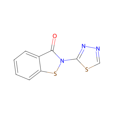 O=c1c2ccccc2sn1-c1nncs1